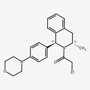 C[C@H]1Cc2ccccc2[C@H](c2ccc(N3CCOCC3)cc2)N1C(=O)CCl